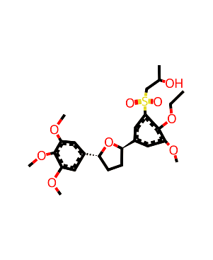 CCOc1c(OC)cc([C@H]2CC[C@H](c3cc(OC)c(OC)c(OC)c3)O2)cc1S(=O)(=O)CC(C)O